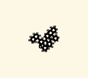 c1ccc(-c2c3ccccc3c(-c3cc(-c4cccc5ccccc45)cc4oc5ccccc5c34)c3ccccc23)c(-c2cccc3ccccc23)c1